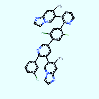 Cc1cc2nccn2cc1-c1cc(-c2cc(F)c(-c3ncccc3-c3cn4ccnc4cc3C)cc2Cl)cnc1-c1cccc(Cl)c1